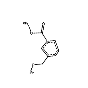 CCCOC(=O)c1cccc(COC(C)C)c1